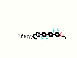 C=CCOc1ccc(-c2ccc(-c3ccc(C4CCC5CC(CCCCC)CCC5C4)c(F)c3F)cc2)c(F)c1F